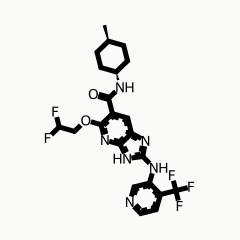 C[C@H]1CC[C@H](NC(=O)c2cc3nc(Nc4cnccc4C(F)(F)F)[nH]c3nc2OCC(F)F)CC1